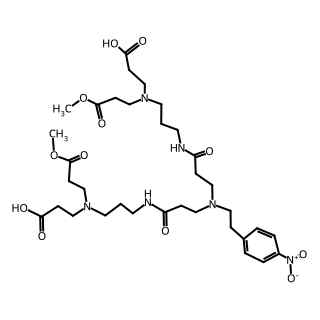 COC(=O)CCN(CCCNC(=O)CCN(CCC(=O)NCCCN(CCC(=O)O)CCC(=O)OC)CCc1ccc([N+](=O)[O-])cc1)CCC(=O)O